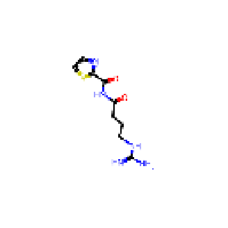 N=C(N)NCCCC(=O)NC(=O)c1nccs1